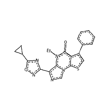 CCn1c(=O)c2c(-c3ccccc3)csc2n2cnc(-c3noc(C4CC4)n3)c12